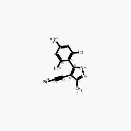 FC(F)(F)c1cc(Cl)c(-c2[nH]nc(C(F)(F)F)c2C#CBr)c(Cl)c1